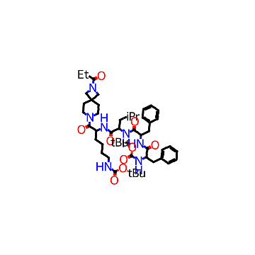 CCC(=O)N1CC2(CCN(C(=O)C(CCCCNC(=O)OC(C)(C)C)NC(=O)C(CC(C)C)NC(=O)C(Cc3ccccc3)NC(=O)C(Cc3ccccc3)NC(=O)OC(C)(C)C)CC2)C1